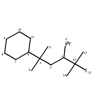 CC(C)C(CC(C)(C)C1CCCCC1)C(C)(C)I